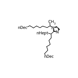 CCCCCCCCCCCCCCCCC(CCCCCCC)c1nccn1C(C)CCCCCCCCCCCCCCCC